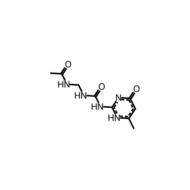 CC(=O)NCNC(=O)Nc1nc(=O)cc(C)[nH]1